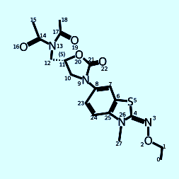 CCON=c1sc2cc(N3C[C@H](CN(C(C)=O)C(C)=O)OC3=O)ccc2n1C